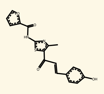 Cc1nc(NC(=O)c2ccco2)sc1C(=O)C=Cc1ccc(O)cc1